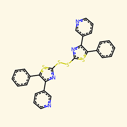 c1ccc(-c2sc(SSc3nc(-c4cccnc4)c(-c4ccccc4)s3)nc2-c2cccnc2)cc1